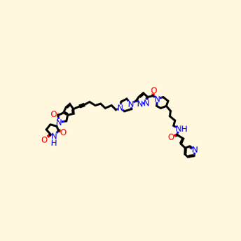 O=C(/C=C/c1cccnc1)NCCCCC1CCN(C(=O)c2ccc(N3CCN(CCCCCCC#Cc4ccc5c(c4)CN(C4CCC(=O)NC4=O)C5=O)CC3)nn2)CC1